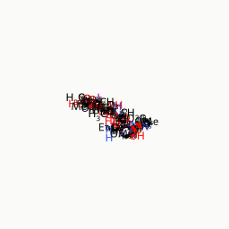 CCN[C@H]1CO[C@@H](O[C@H]2[C@H](O[C@H]3C#C/C=C\C#C[C@]4(O)CC(=O)C(NC(=O)OC)=C3/C4=C\CSSc3ncccc3C(=O)O)O[C@H](C)[C@@H](NO[C@H]3C[C@H](O)[C@H](SC(=O)c4c(C)c(I)c(O[C@@H]5O[C@@H](C)[C@H](O)[C@@H](OC)[C@H]5O)c(OC)c4OC)[C@@H](C)O3)[C@@H]2O)C[C@@H]1OC